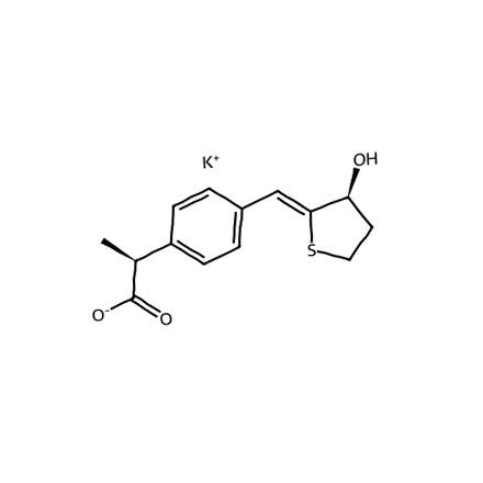 C[C@H](C(=O)[O-])c1ccc(/C=C2\SCC[C@@H]2O)cc1.[K+]